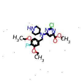 CCOc1cc(CN(c2cc(C(=O)OC)nc(Cl)n2)C2CCNCC2)cc(OCC)c1F